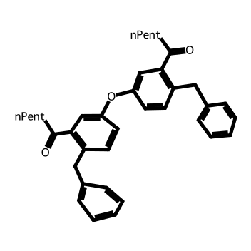 CCCCCC(=O)c1cc(Oc2ccc(Cc3ccccc3)c(C(=O)CCCCC)c2)ccc1Cc1ccccc1